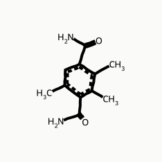 Cc1cc(C(N)=O)c(C)c(C)c1C(N)=O